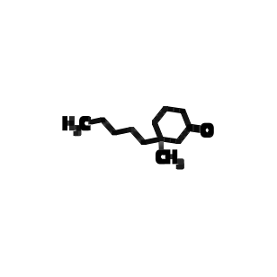 CCCCCC1(C)CCCC(=O)C1